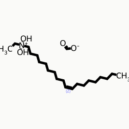 CCCCCCCC/C=C\CCCCCCCCC[N+](O)(O)CC.O=C[O-]